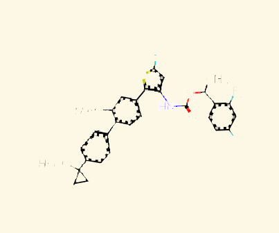 COc1cc(-c2sc(F)cc2NC(=O)OC(C)c2ccc(F)cc2F)ccc1-c1ccc(C2(C(=O)O)CC2)cc1